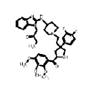 CCC(=O)Cn1c(NC2CCN(CCC3(c4ccc(F)c(F)c4)CNC(C(=O)c4ccc(OC)c(OC)c4OC)C3)CC2)nc2ccccc21